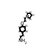 NCCc1ccc(OCCN2CCCC2)cc1